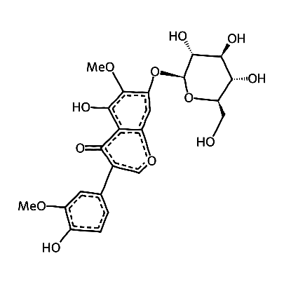 COc1cc(-c2coc3cc(O[C@@H]4O[C@H](CO)[C@@H](O)[C@H](O)[C@H]4O)c(OC)c(O)c3c2=O)ccc1O